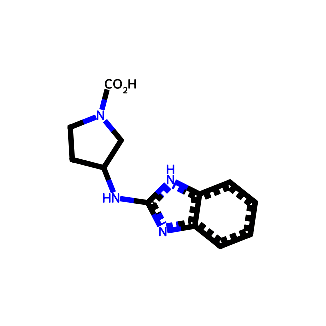 O=C(O)N1CCC(Nc2nc3ccccc3[nH]2)C1